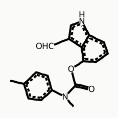 Cc1ccc(N(C)C(=O)Oc2cccc3[nH]cc(C=O)c23)cc1